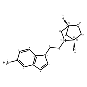 Nc1ccc2c(ccn2CCN2C[C@H]3C[C@@H]2CO3)c1